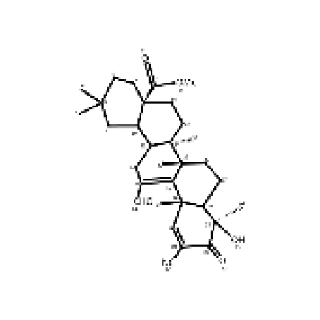 COC(=O)[C@]12CCC(C)(C)CC1C1CC(C=O)=C3[C@@]4(C)C=C(C#N)C(=O)[C@](C)(O)C4CC[C@@]3(C)[C@]1(C)CC2